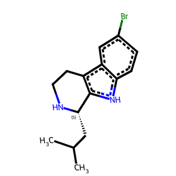 CC(C)C[C@@H]1NCCc2c1[nH]c1ccc(Br)cc21